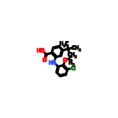 COc1c(Cl)cccc1Nc1cc(C(C)(C)C)ccc1C(=O)O